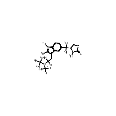 [2H]c1c(CC([2H])([2H])N(C([2H])([2H])[2H])C([2H])([2H])[2H])c2cc(C([2H])([2H])[C@H]3COC(=O)N3[2H])ccc2n1[2H]